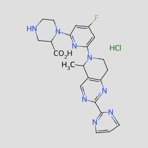 CC1c2cnc(-c3ncccn3)nc2CCN1c1cc(F)cc(N2CCNCC2C(=O)O)n1.Cl